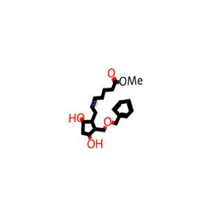 COC(=O)CCC/C=C\CC1C(O)CC(O)C1COCc1ccccc1